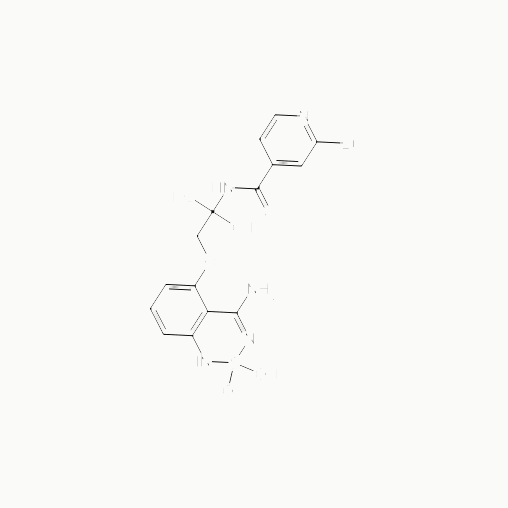 CCc1cc(C(=O)NC(C)(C)COc2cccc3c2C(N)=NS(O)(O)N3)ccn1